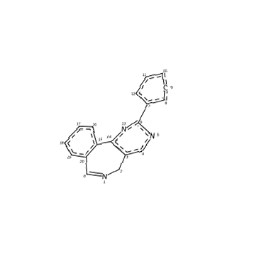 C1=NCc2cnc(-c3ccccc3)nc2-c2ccccc21